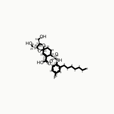 CCCCCCCc1cc(F)ccc1NS(=O)(=O)C1CCC2(C=C1C(=O)O)O[C@H](CO)[C@@H](CO)O2